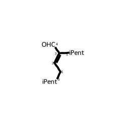 CCCC(C)C/C=C(/C=O)C(C)CCC